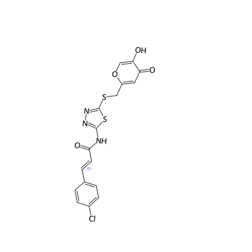 O=C(/C=C/c1ccc(Cl)cc1)Nc1nnc(SCc2cc(=O)c(O)co2)s1